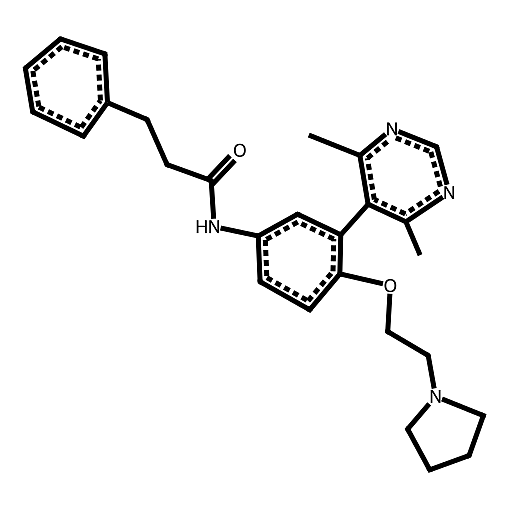 Cc1ncnc(C)c1-c1cc(NC(=O)CCc2ccccc2)ccc1OCCN1CCCC1